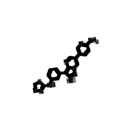 Cl.Nc1ccc(-c2cnc3c(-c4cccc(Nc5nncs5)c4)cnn3c2)cn1